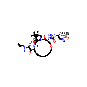 C=CCNC(=O)C(=O)[C@@H]1CCCCCCCOC[C@H](NC(=O)N[C@H](CN(C)S(=O)(=O)CC)C(C)(C)C)C(=O)N2C[C@H]3[C@@H]([C@H]2C(=O)N1)C3(C)C